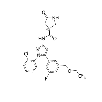 O=C1C[C@H](C(=O)Nc2cc(-c3cc(F)cc(COCC(F)(F)F)c3)n(-c3ccccc3Cl)n2)CN1